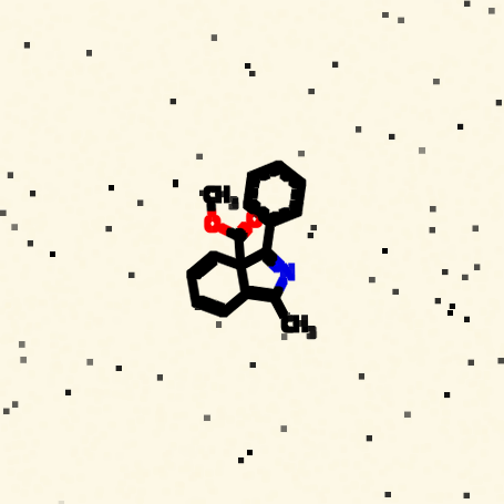 COC(=O)C12C=CC=CC1=C(C)N=C2c1ccccc1